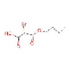 CCCCOC(=O)C(Br)C(=O)O